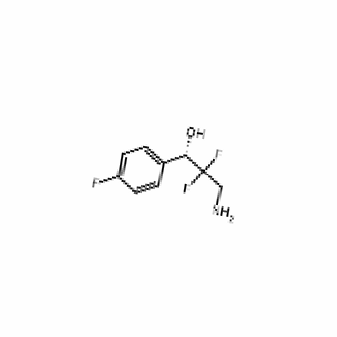 NCC(F)(F)[C@@H](O)c1ccc(F)cc1